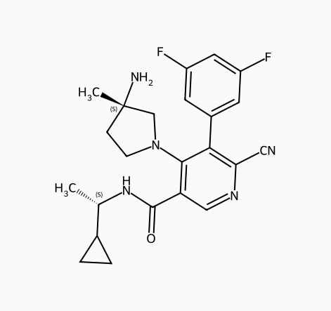 C[C@H](NC(=O)c1cnc(C#N)c(-c2cc(F)cc(F)c2)c1N1CC[C@](C)(N)C1)C1CC1